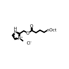 CCCCCCCCCCCC(=O)OCc1[nH]cc[n+]1C.[Cl-]